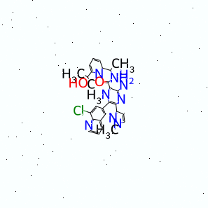 CC(NC(=O)c1nc(-c2cc(Cl)c3ncccc3c2)c(-c2ccn(C)n2)nc1N)c1cccc(C(C)(C)O)n1